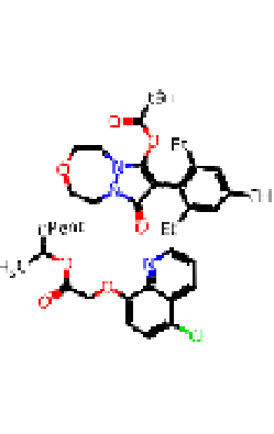 CCCCCC(C)OC(=O)COc1ccc(Cl)c2cccnc12.CCc1cc(C)cc(CC)c1-c1c(OC(=O)C(C)(C)C)n2n(c1=O)CCOCC2